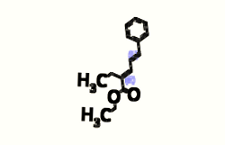 CCOC(=O)/C(=C/C=C/c1ccccc1)CC